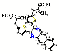 CCOC(=O)C(C)Cc1ccc(-c2nc3cc4ccccc4cc3nc2-c2ccc(CC(C)C(=O)OCC)s2)s1